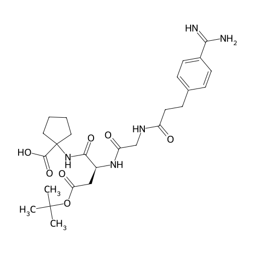 CC(C)(C)OC(=O)C[C@H](NC(=O)CNC(=O)CCc1ccc(C(=N)N)cc1)C(=O)NC1(C(=O)O)CCCC1